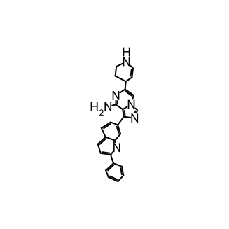 Nc1nc(C2C=CNCC2)cn2cnc(-c3ccc4ccc(-c5ccccc5)nc4c3)c12